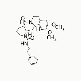 COc1cc2c(cc1OC)[C@@H]1C[C@@H]3[C@@H](CCCN3C(=O)NCCc3ccccc3)C(=O)N1CC2